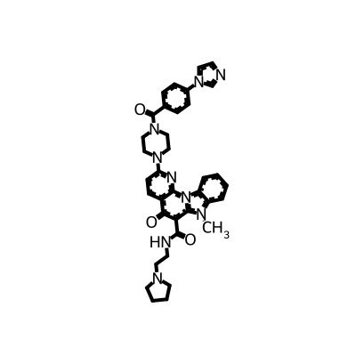 Cn1c2ccccc2n2c3nc(N4CCN(C(=O)c5ccc(-n6ccnc6)cc5)CC4)ccc3c(=O)c(C(=O)NCCN3CCCC3)c12